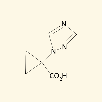 O=C(O)C1(n2cncn2)CC1